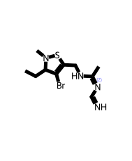 CCC1C(Br)=C(CN/C(C)=N\C=N)SN1C